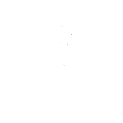 CC1NC2SCCN2C1C(=O)NC12CC(NC(=O)COc3ccc(Cl)c(F)c3)(C1)C2